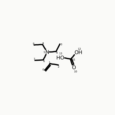 C=CC.CCN(CC)CC.O=C(O)O